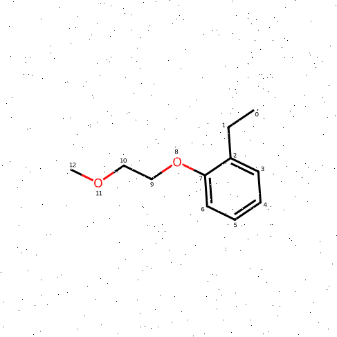 [CH2]Cc1ccccc1OCCOC